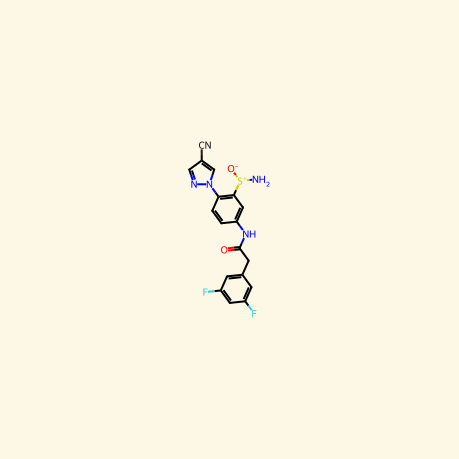 N#Cc1cnn(-c2ccc(NC(=O)Cc3cc(F)cc(F)c3)cc2[S+](N)[O-])c1